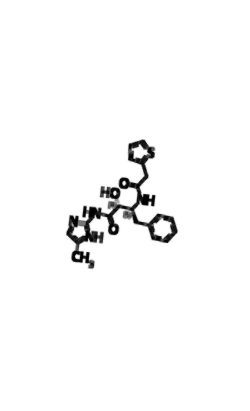 Cc1cnc(NC(=O)[C@H](O)[C@H](Cc2ccccc2)NC(=O)Cc2cccs2)[nH]1